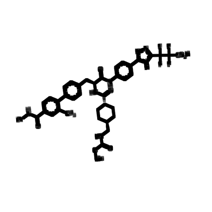 Cc1cc(C(=O)NC(C)C)ccc1-c1ccc(C[C@H](NC(=O)[C@H]2CC[C@H](CNC(=O)OC(C)(C)C)CC2)C(=O)Nc2ccc(-c3nnc(C(F)(F)C(F)(F)C(=O)O)[nH]3)cc2)cc1